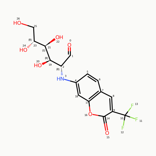 O=C[C@H](Nc1ccc2cc(C(F)(F)F)c(=O)oc2c1)[C@@H](O)[C@H](O)[C@H](O)CO